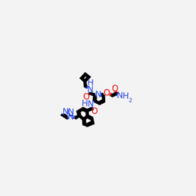 NC(=O)COc1ccc(NC(=O)c2ccc(Cn3ccnn3)c3ccccc23)c(C(=O)NCC2CCC2)n1